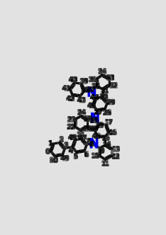 c1ccc(-c2ccc(-n3c4ccccc4c4ccc5c(c6ccccc6n5-c5ccc6c7ccccc7n(-c7ccccc7)c6c5)c43)cc2)cc1